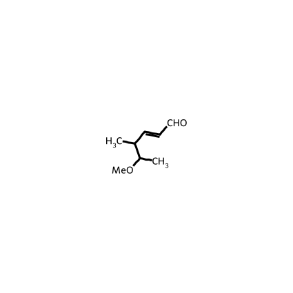 COC(C)C(C)/C=C/C=O